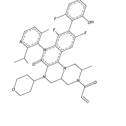 C=CC(=O)N1CC2CN(C3CCOCC3)c3c(c4cc(F)c(-c5c(O)cccc5F)c(F)c4n(-c4c(C)ccnc4C(C)C)c3=O)N2CC1C